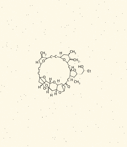 C=C1C[C@@H]2CCC34C[C@H]5O[C@H]6[C@@H](O3)[C@H]3OC(CC[C@@H]3O[C@H]6C5O4)CC(=O)C[C@@H]3[C@@H](C)[C@@H](C[C@H](O)CC)O[C@H]3CC3O[C@@H](CCC1O2)C[C@@H](C)C3=C